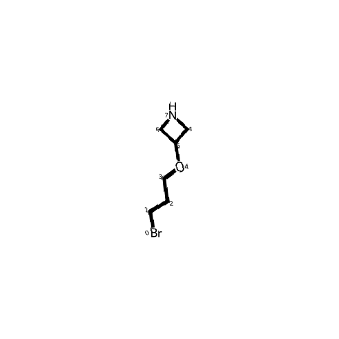 BrCCCOC1CNC1